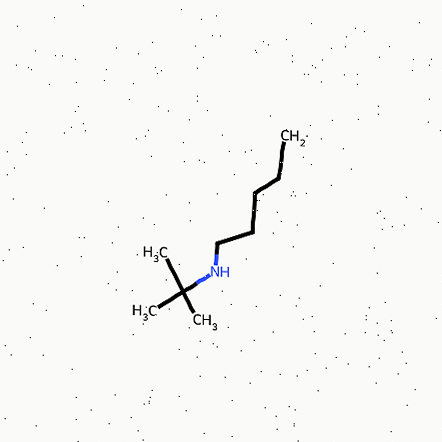 [CH2]CCCCNC(C)(C)C